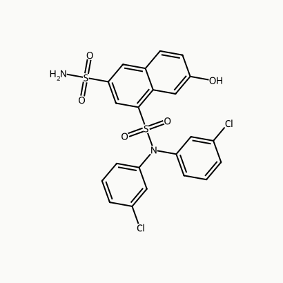 NS(=O)(=O)c1cc(S(=O)(=O)N(c2cccc(Cl)c2)c2cccc(Cl)c2)c2cc(O)ccc2c1